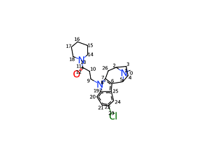 CN1C2CCC1c1c(n(CCC(=O)N3CCCCC3)c3ccc(Cl)cc13)C2